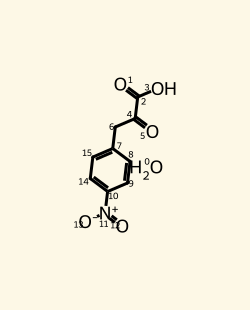 O.O=C(O)C(=O)Cc1ccc([N+](=O)[O-])cc1